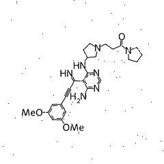 COc1cc(C#CC(=N)c2c(N)ncnc2N[C@H]2CCN(CCC(=O)N3CCCC3)C2)cc(OC)c1